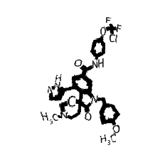 COc1ccc(CN2C(=O)C3(CCN(C)CC3)c3c(-c4ccn[nH]4)cc(C(=O)Nc4ccc(OC(F)(F)Cl)cc4)cc32)cc1